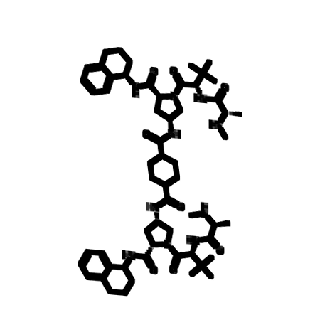 CN[C@@H](C)C(=O)N[C@H](C(=O)N1C[C@@H](NC(=O)C2CCC(C(=O)N[C@H]3C[C@@H](C(=O)N[C@@H]4CCCc5ccccc54)N(C(=O)[C@@H](NC(=O)[C@H](C)NC)C(C)(C)C)C3)CC2)C[C@H]1C(=O)NC1CCCc2ccccc21)C(C)(C)C